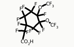 O=C(O)C(F)(F)C1(F)C(F)(F)C(F)(F)C(F)(OC(F)(F)F)C(F)(OC(F)(F)F)C1(F)F